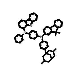 CC1CC2CC(C)CC(c3ccc(N(c4ccc(N(c5ccccc5)c5cccc6c5sc5ccccc56)cc4)c4ccc5c(c4)C(C)(C)c4ccccc4-5)cc3)(C1)C2